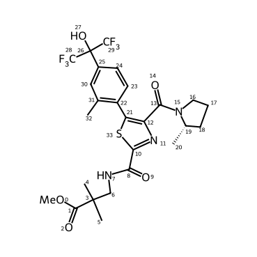 COC(=O)C(C)(C)CNC(=O)c1nc(C(=O)N2CCC[C@@H]2C)c(-c2ccc(C(O)(C(F)(F)F)C(F)(F)F)cc2C)s1